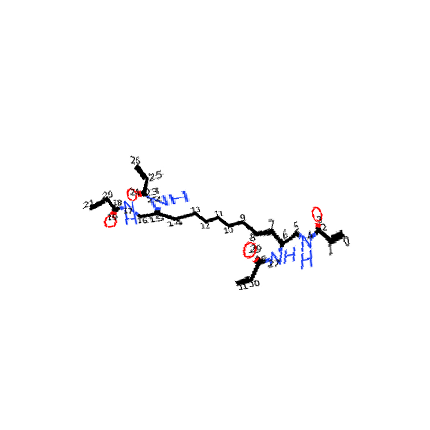 C=CC(=O)NCC(CCCCCCCCC(CNC(=O)C=C)NC(=O)C=C)NC(=O)C=C